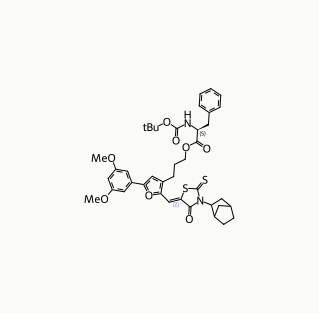 COc1cc(OC)cc(-c2cc(CCCOC(=O)[C@H](Cc3ccccc3)NC(=O)OC(C)(C)C)c(/C=C3\SC(=S)N(C4CC5CCC4C5)C3=O)o2)c1